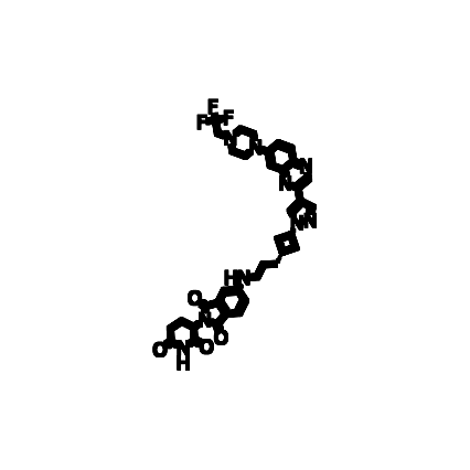 O=C1CCC(N2C(=O)c3ccc(NCCC[C@H]4C[C@H](n5cc(-c6cnc7ccc(N8CCN(CC(F)(F)F)CC8)cc7n6)cn5)C4)cc3C2=O)C(=O)N1